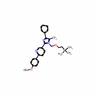 CCCCOc1ccc(-c2ccc(-c3nc(-c4ccccc4)c(C(F)(F)F)n3COCC[Si](C)(C)C)cn2)cc1